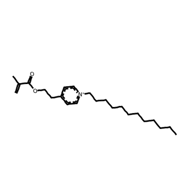 C=C(C)C(=O)OCCc1cc[n+](CCCCCCCCCCCC)cc1